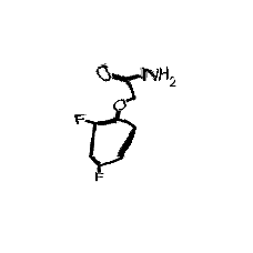 NC(=O)COc1ccc(F)cc1F